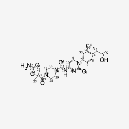 CC(O)Cc1ccc(-n2ccc(NC(=O)N3CCN(C(=O)C(C)(C)OC(N)=O)CC3)nc2=O)cc1C(F)(F)F